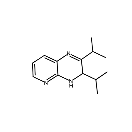 CC(C)C1=Nc2cccnc2NC1C(C)C